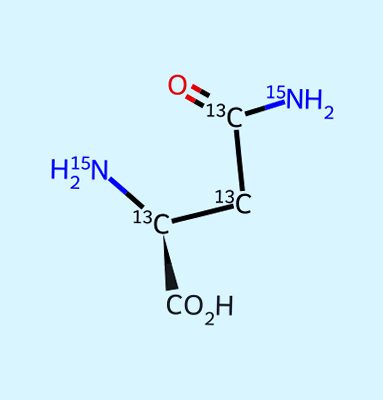 [15NH2][13C](=O)[13CH2][13C@H]([15NH2])[13C](=O)O